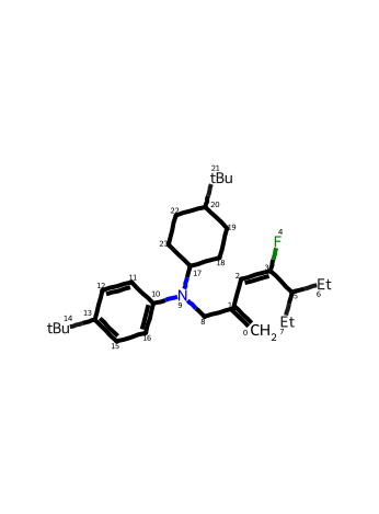 C=C(/C=C(/F)C(CC)CC)CN(c1ccc(C(C)(C)C)cc1)C1CCC(C(C)(C)C)CC1